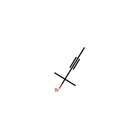 CC#CC(C)(C)Br